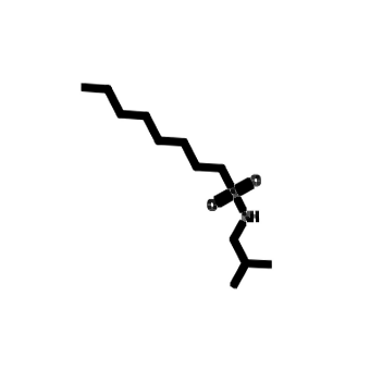 CCCCCCCCS(=O)(=O)NCC(C)C